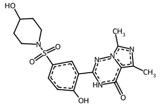 Cc1nc(C)n2nc(-c3cc(S(=O)(=O)N4CCC(O)CC4)ccc3O)[nH]c(=O)c12